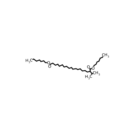 CCCCCCCOC(=O)CCCCCCCCCCCCCCCCC(C(=O)OCCCCCCC)C(C)C